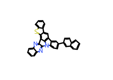 c1ccc2cc(-c3ccc4c(c3)c3cc5c6ccccc6sc5c5c6nc7ccccc7nc6n4c35)ccc2c1